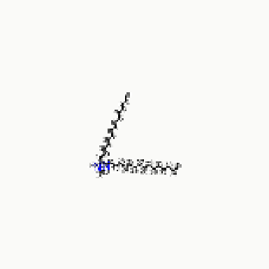 CCCCCCCCCCCCCCCC1N(C)C=CN1CCCCCCCCCCCCCCC